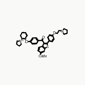 COc1ccc2c(C(=O)c3ccc(O[C@@H]4CCCC[C@H]4N4CCCC4)cc3)c(-c3ccc(OCCN4CCCC4)cc3)sc2c1